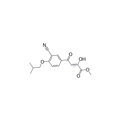 COC(=O)/C(O)=C/C(=O)c1ccc(OCC(C)C)c(C#N)c1